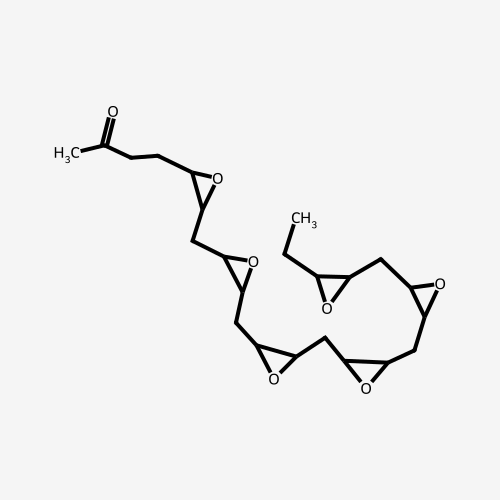 CCC1OC1CC1OC1CC1OC1CC1OC1CC1OC1CC1OC1CCC(C)=O